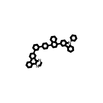 c1ccc(-n2c3ccccc3c3cc(-c4ccc(-c5ccc(-c6cccc(-c7ccc8c9ccccc9c9nccnc9c8c7)c6)cc5)c5ccccc45)ccc32)cc1